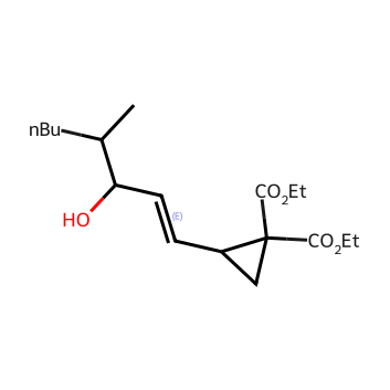 CCCCC(C)C(O)/C=C/C1CC1(C(=O)OCC)C(=O)OCC